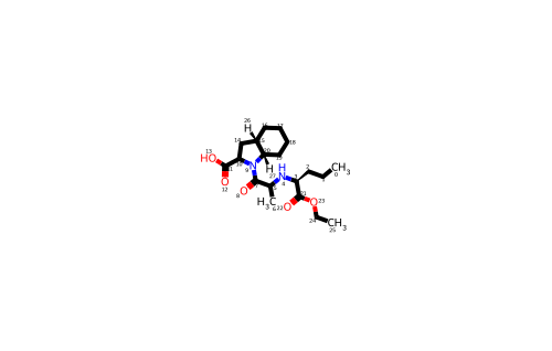 CCC[C@H](NC(C)C(=O)N1C(C(=O)O)C[C@@H]2CCCC[C@@H]21)C(=O)OCC